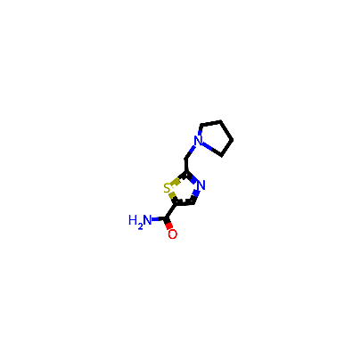 NC(=O)c1cnc(CN2CCCC2)s1